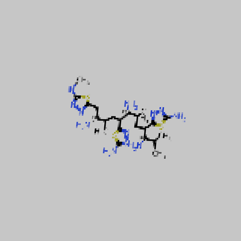 CNc1nnc(C[C@@H](N)C(C)CC(c2nnc(N)s2)[C@@H](N)C(C)CC(c2nnc(N)s2)[C@H](N)C(C)C)s1